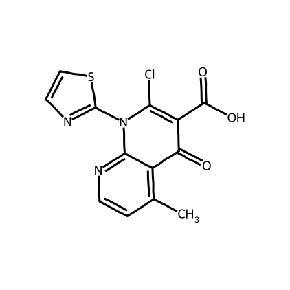 Cc1ccnc2c1c(=O)c(C(=O)O)c(Cl)n2-c1nccs1